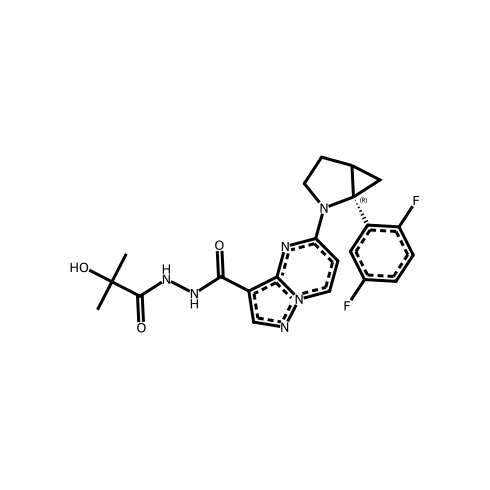 CC(C)(O)C(=O)NNC(=O)c1cnn2ccc(N3CCC4C[C@]43c3cc(F)ccc3F)nc12